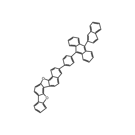 c1ccc2cc(-c3c4ccccc4c(-c4ccc(-c5ccc6c(ccc7c6oc6ccc8c9ccccc9oc8c67)c5)cc4)c4ccccc34)ccc2c1